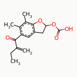 C=C(CC)C(=O)c1cc2c(c(C)c1C)OC(OC(=O)O)C2